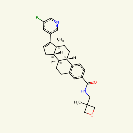 CC1(CNC(=O)c2ccc3c(c2)CC[C@@H]2[C@@H]3CC[C@]3(C)C(c4cncc(F)c4)=CC[C@@H]23)COC1